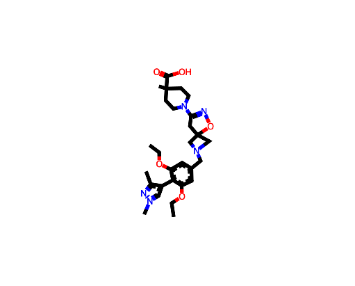 CCOc1cc(CN2CC3(CC(N4CCC(C)(C(=O)O)CC4)=NO3)C2)cc(OCC)c1-c1cn(C)nc1C